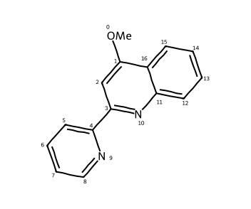 COc1cc(-c2ccccn2)nc2ccccc12